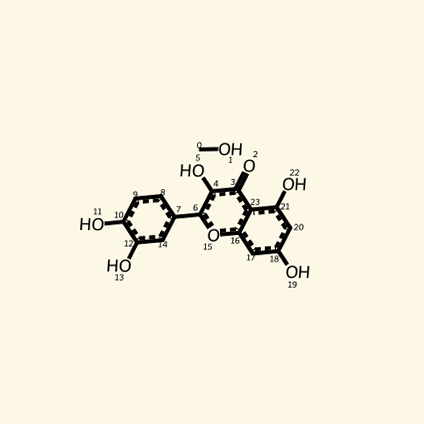 CO.O=c1c(O)c(-c2ccc(O)c(O)c2)oc2cc(O)cc(O)c12